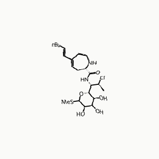 CCCC/C=C/C1=CC[C@@H](C(=O)N[C@H]([C@H](C)Cl)[C@H]2OC(SC)[C@H](O)C(O)C2O)NCC1